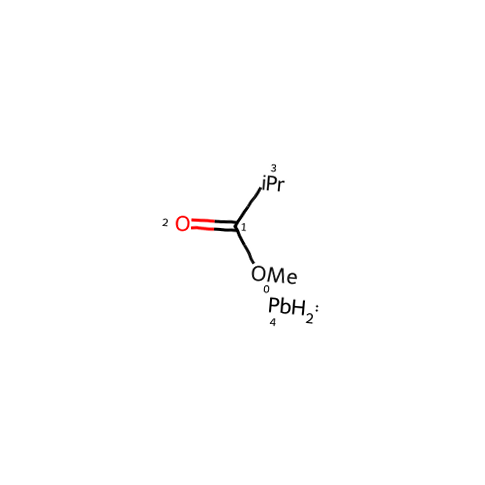 COC(=O)C(C)C.[PbH2]